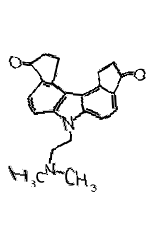 CN(C)CCn1c2ccc3c(c2c2c4c(ccc21)C(=O)CC4)CCC3=O